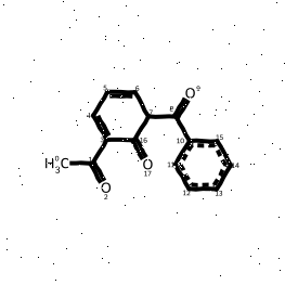 CC(=O)C1=CC=CC(C(=O)c2ccccc2)C1=O